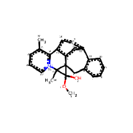 COC1(O)C23Cc4ccccc4-c4ccc(c2c4)-c2c(C)ccc[n+]2C13C